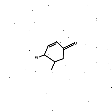 CCC1C=CC(=O)CC1C